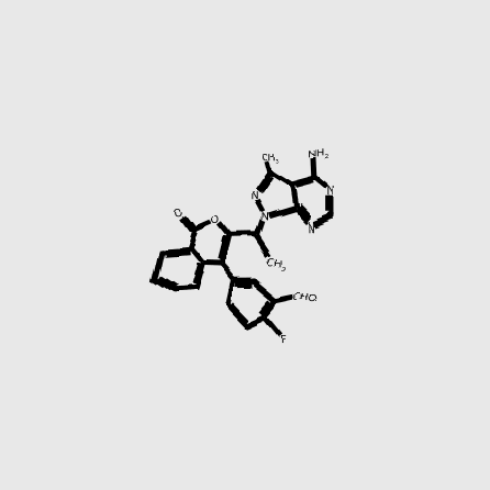 Cc1nn(C(C)c2oc(=O)c3ccccc3c2-c2ccc(F)c(C=O)c2)c2ncnc(N)c12